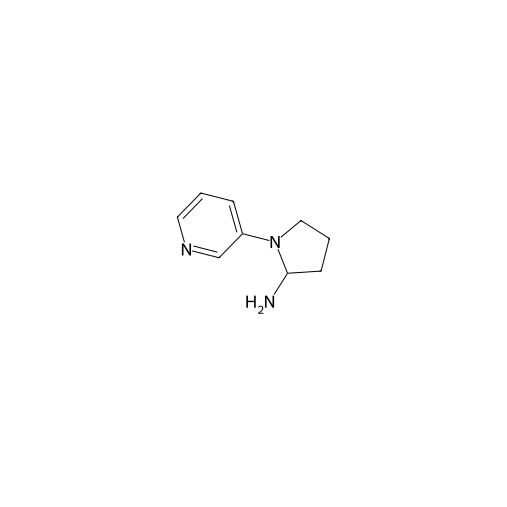 NC1CCCN1c1cccnc1